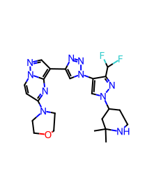 CC1(C)CC(n2cc(-n3cc(-c4cnn5ccc(N6CCOCC6)nc45)nn3)c(C(F)F)n2)CCN1